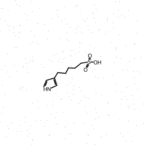 O=S(=O)(O)CCCCCc1cc[nH]c1